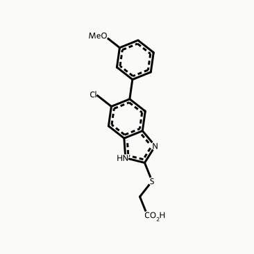 COc1cccc(-c2cc3nc(SCC(=O)O)[nH]c3cc2Cl)c1